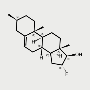 C[C@H]1CC[C@@]2(C)C(=CC[C@H]3[C@@H]4C[C@@H](F)[C@H](O)[C@@]4(C)CC[C@@H]32)C1